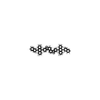 c1ccc2cc(-c3c4ccccc4c(-c4ccc5c(c4)oc4ccc6c(ccc7oc8cc(-c9c%10ccccc%10c(-c%10ccc%11ccccc%11c%10)c%10ccccc9%10)ccc8c76)c45)c4ccccc34)ccc2c1